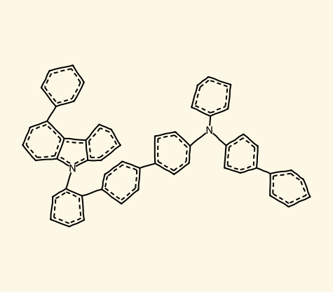 c1ccc(-c2ccc(N(c3ccccc3)c3ccc(-c4ccc(-c5ccccc5-n5c6ccccc6c6c(-c7ccccc7)cccc65)cc4)cc3)cc2)cc1